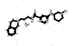 CC(=O)N1CCC[C@@H](Nc2cc(C(=O)NC[C@H](O)CN3CCc4ccccc4C3)ncn2)C1